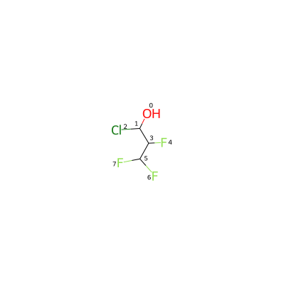 OC(Cl)C(F)C(F)F